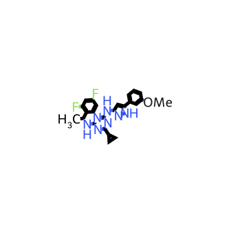 COc1cccc(-c2cc(Nc3nc(NC(C)c4ccc(F)cc4F)nc(C4CC4)n3)n[nH]2)c1